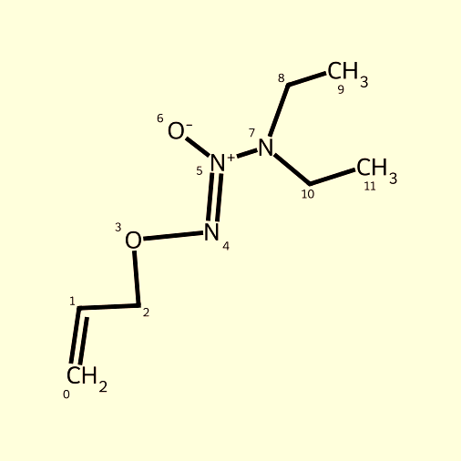 C=CCON=[N+]([O-])N(CC)CC